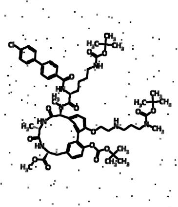 COC(=O)[C@@H]1Cc2ccc(OC(=O)OC(C)(C)C)c(c2)-c2cc(ccc2OCCNCCCN(C)C(=O)OC(C)(C)C)[C@H](N(C)C(=O)[C@H](CCCCNC(=O)OC(C)(C)C)NC(=O)c2ccc(-c3ccc(Cl)cc3)cc2)C(=O)N[C@@H](C)C(=O)N1